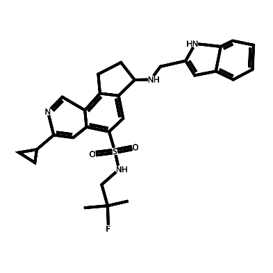 CC(C)(F)CNS(=O)(=O)c1cc2c(c3cnc(C4CC4)cc13)CCC2NCc1cc2ccccc2[nH]1